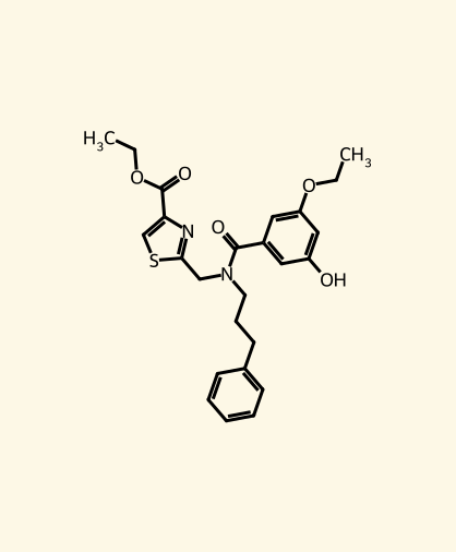 CCOC(=O)c1csc(CN(CCCc2ccccc2)C(=O)c2cc(O)cc(OCC)c2)n1